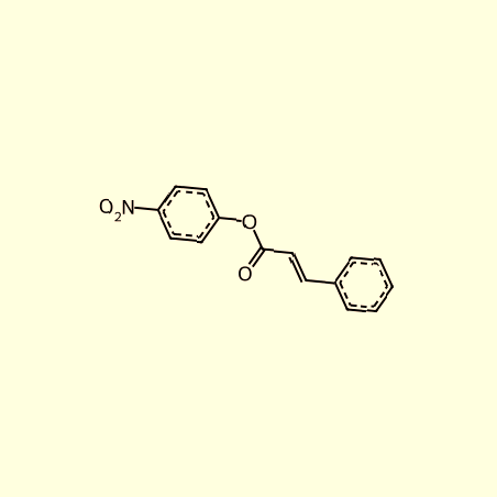 O=C(/C=C/c1ccccc1)Oc1ccc([N+](=O)[O-])cc1